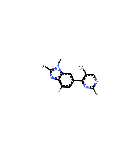 Cc1nc2c(F)cc(-c3nc(Cl)ncc3C(F)(F)F)cc2n1C(C)C